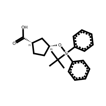 CC(C)(C)[Si](O[C@@H]1CC[C@H](C(=O)O)C1)(c1ccccc1)c1ccccc1